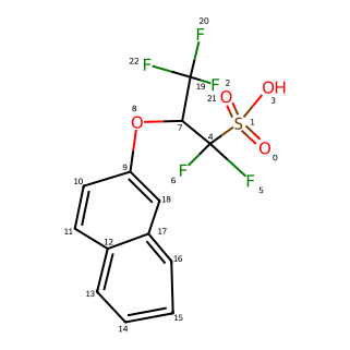 O=S(=O)(O)C(F)(F)C(Oc1ccc2ccccc2c1)C(F)(F)F